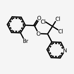 O=C(OC(c1cccnc1)C(Cl)(Cl)Cl)c1ccccc1Br